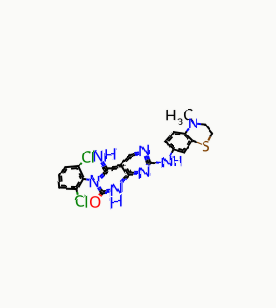 CN1CCSc2cc(Nc3ncc4c(=N)n(-c5c(Cl)cccc5Cl)c(=O)[nH]c4n3)ccc21